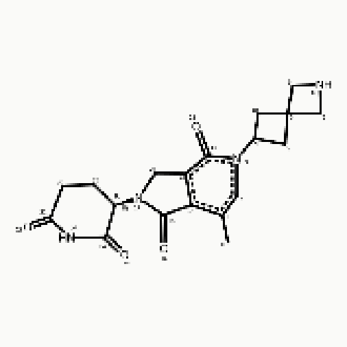 Cc1cn(C2CC3(CNC3)C2)c(=O)c2c1C(=O)N([C@@H]1CCC(=O)NC1=O)C2